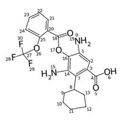 Nc1cc(C(=O)O)c(C2CCCCC2)c(N)c1OC(=O)c1ccccc1OC(F)(F)F